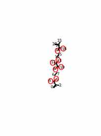 C=C(C)C(=O)OCCOC(=O)C(=O)OCCOC(=O)C(=C)C